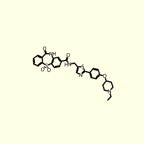 CCN1CCC(Oc2ccc(-c3ncc(CNC(=O)c4ccc5c(c4)NC(=O)c4ccccc4S5(=O)=O)s3)cc2)CC1